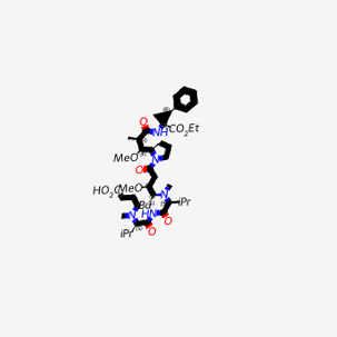 CCOC(=O)[C@]1(NC(=O)[C@H](C)[C@@H](OC)[C@@H]2CCCN2C(=O)C[C@@H](OC)[C@H]([C@@H](C)CC)N(C)[C@H](C(=O)NC(=O)[C@H](C(C)C)N(C)CCCC(=O)O)C(C)C)C[C@@H]1c1ccccc1